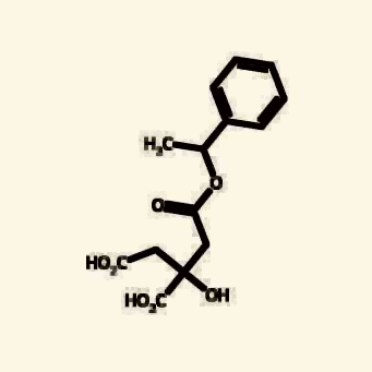 CC(OC(=O)CC(O)(CC(=O)O)C(=O)O)c1ccccc1